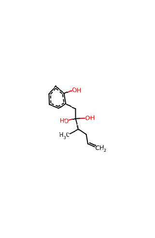 C=CCC(C)C(O)(O)Cc1ccccc1O